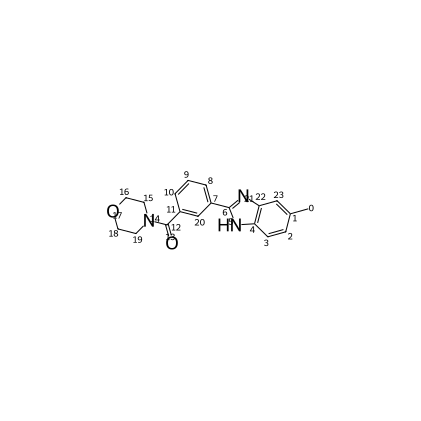 Cc1ccc2[nH]c(-c3cccc(C(=O)N4CCOCC4)c3)nc2c1